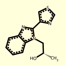 C[C@H](O)Cn1c(-c2cscn2)nc2ccccc21